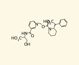 O=C(NC(CO)C(=O)O)c1ccc[n+](COC(=O)N2CCCC[C@@H]2C(C(=O)O)c2ccccc2)c1